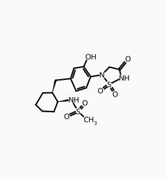 CS(=O)(=O)N[C@H]1CCCC[C@H]1Cc1ccc(N2CC(=O)NS2(=O)=O)c(O)c1